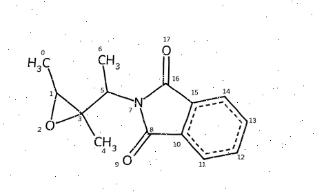 CC1OC1(C)C(C)N1C(=O)c2ccccc2C1=O